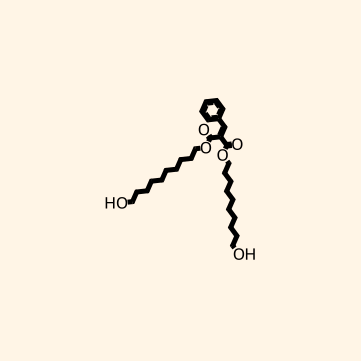 O=C(OCCCCCCCCCCO)C(=Cc1ccccc1)C(=O)OCCCCCCCCCCO